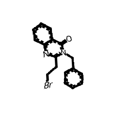 O=c1c2ccccc2nc(CCBr)n1Cc1ccccc1